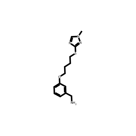 Cn1cnc(SCCCCOc2cccc(CN)c2)n1